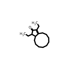 CCC1=C2CCCCCCCCCC2C(CC)C1=O